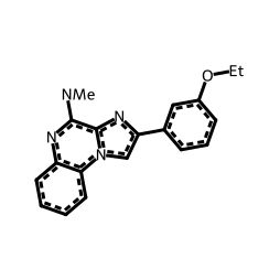 CCOc1cccc(-c2cn3c(n2)c(NC)nc2ccccc23)c1